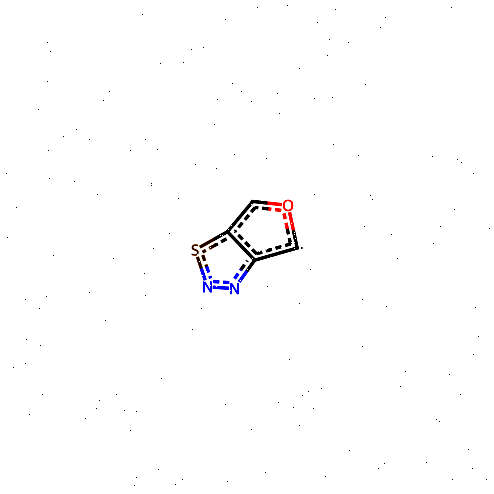 [c]1occ2snnc12